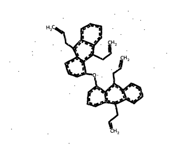 C=CCc1c2ccccc2c(CC=C)c2c(Oc3cccc4c(CC=C)c5ccccc5c(CC=C)c34)cccc12